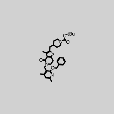 Cc1cc(C)c(CN2CCc3sc(CC4CCN(C(=O)OC(C)(C)C)CC4)c(C)c3C2=O)c(OCc2ccccc2)n1